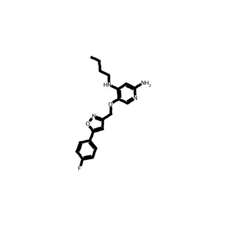 CCCCNc1cc(N)ncc1OCc1cc(-c2ccc(F)cc2)on1